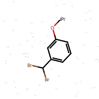 CC(C)Oc1cccc(C(Br)Br)c1